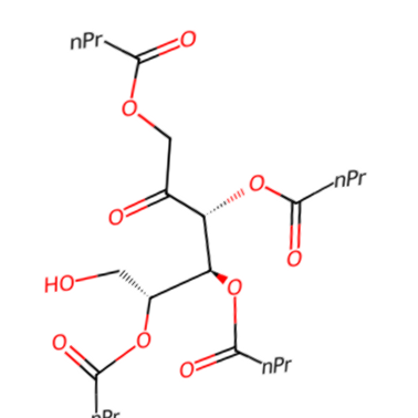 CCCC(=O)OCC(=O)[C@H](OC(=O)CCC)[C@@H](OC(=O)CCC)[C@@H](CO)OC(=O)CCC